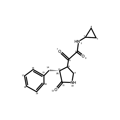 O=C(NC1CC1)C(=O)C1CNC(=O)[C@@H]1Cc1ccccc1